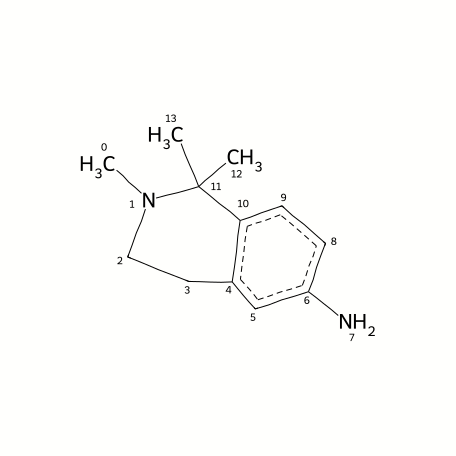 CN1CCc2cc(N)ccc2C1(C)C